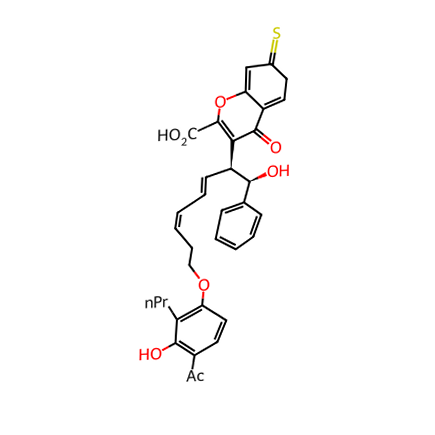 CCCc1c(OCC/C=C\C=C\[C@@H](c2c(C(=O)O)oc3c(c2=O)=CCC(=S)C=3)[C@@H](O)c2ccccc2)ccc(C(C)=O)c1O